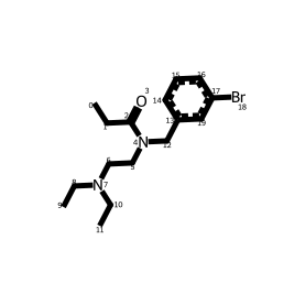 CCC(=O)N(CCN(CC)CC)Cc1cccc(Br)c1